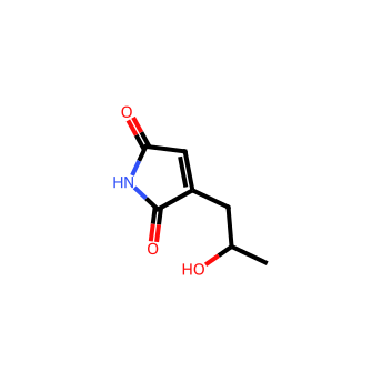 CC(O)CC1=CC(=O)NC1=O